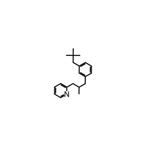 CC(Cc1cccc(CC(C)(C)C)c1)Cc1ccccn1